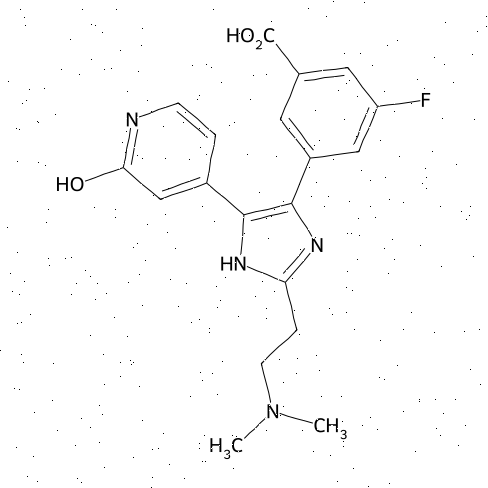 CN(C)CCc1nc(-c2cc(F)cc(C(=O)O)c2)c(-c2ccnc(O)c2)[nH]1